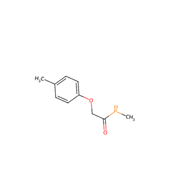 CPC(=O)COc1ccc(C)cc1